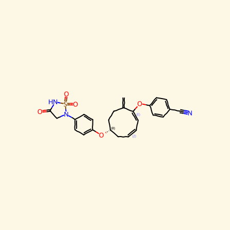 C=C1CC[C@@H](Oc2ccc(N3CC(=O)NS3(=O)=O)cc2)C/C=C\C=C/1Oc1ccc(C#N)cc1